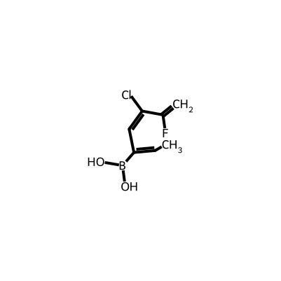 C=C(F)/C(Cl)=C\C(=C/C)B(O)O